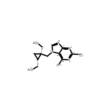 CC(=O)OC[C@@H]1C[C@@]1(COC(C)=O)Cn1cnc2nc(N)nc(Cl)c21